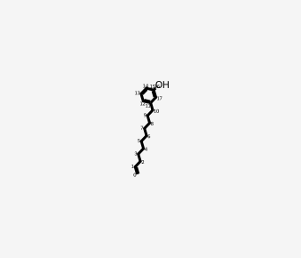 C=CCCCCCCCCCc1cccc(O)c1